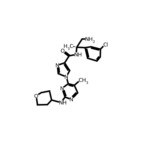 Cc1cnc(NC2CCOCC2)nc1-n1cnc(C(=O)N[C@@](C)(CN)c2cccc(Cl)c2)c1